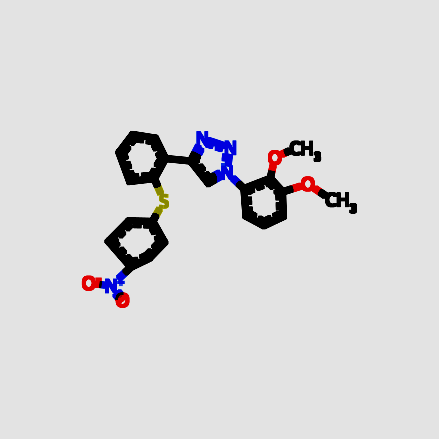 COc1cccc(-n2cc(-c3ccccc3Sc3ccc([N+](=O)[O-])cc3)nn2)c1OC